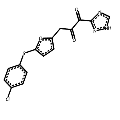 O=C(Cc1ccc(Sc2ccc(Cl)cc2)o1)C(=O)c1nc[nH]n1